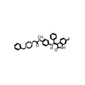 CN(C(=O)CN1CCN(Cc2ccccc2)CC1)c1ccc(N/C(=C2\C(=O)Nc3cc(F)ccc32)c2ccccc2)cc1